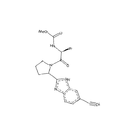 C#Cc1ccc2nc(C3CCCN3C(=O)[C@@H](NC(=O)OC)C(C)C)[nH]c2c1